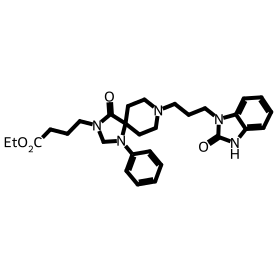 CCOC(=O)CCCN1CN(c2ccccc2)C2(CCN(CCCn3c(=O)[nH]c4ccccc43)CC2)C1=O